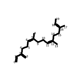 C=CC(=C)CCC=C(C)CCC=C(C)CCC(C)=CC